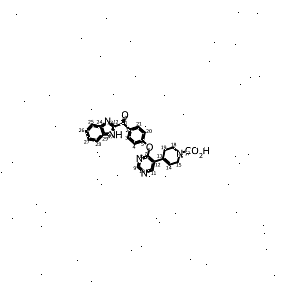 O=C(c1ccc(Oc2ncncc2C2=CCN(C(=O)O)CC2)cc1)c1nc2ccccc2[nH]1